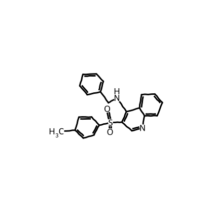 Cc1ccc(S(=O)(=O)c2cnc3ccccc3c2NCc2ccccc2)cc1